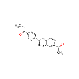 CCC(=O)c1ccc(-c2ccc3cc(C(C)=O)ccc3c2)cc1